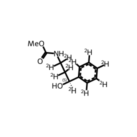 [2H]c1c([2H])c([2H])c([C@@]([2H])(O)C([2H])([2H])C([2H])([2H])NC(=O)OC)c([2H])c1[2H]